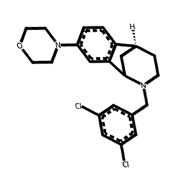 Clc1cc(Cl)cc(CN2CC[C@H]3CC2c2cc(N4CCOCC4)ccc23)c1